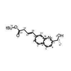 C[C@@H](O)c1ccc2ccc(/C=C/CC(=O)OC(C)(C)C)cc2n1